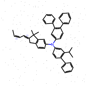 C/C=C\C=C1/Cc2ccc(N(c3ccc(-c4ccccc4)c(-c4ccccc4)c3)c3ccc(-c4ccccc4)c(C(C)C)c3)cc2C1(C)C